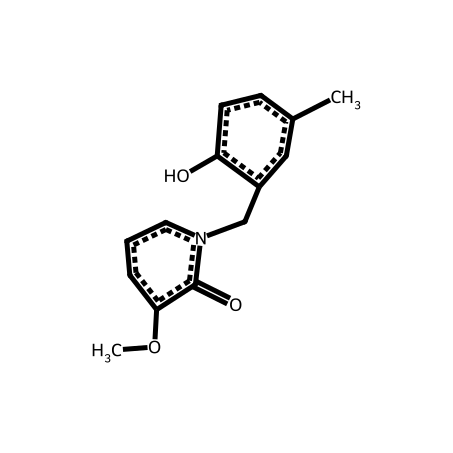 COc1cccn(Cc2cc(C)ccc2O)c1=O